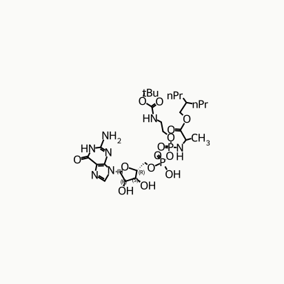 CCCC(CCC)COC(=O)C(C)NP(=O)(OCCNC(=O)OC(C)(C)C)OP(=O)(O)OC[C@H]1O[C@@H](n2cnc3c(=O)[nH]c(N)nc32)[C@H](O)[C@@H]1O